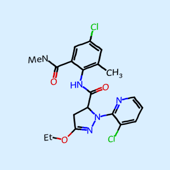 CCOC1=NN(c2ncccc2Cl)C(C(=O)Nc2c(C)cc(Cl)cc2C(=O)NC)C1